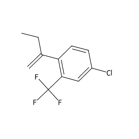 C=C(CC)c1ccc(Cl)cc1C(F)(F)F